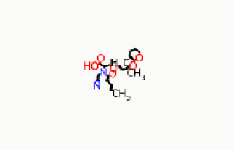 C=CCCC(=O)N(CC#N)C(COCCC(C)(C)OC1CCCCO1)C(=O)O